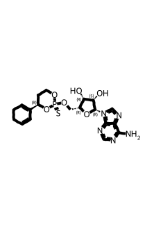 Nc1ncnc2c1ncn2[C@@H]1O[C@H](COP2(=S)OCC[C@H](C3=CCCC=C3)O2)[C@H](O)[C@@H]1O